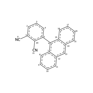 N#Cc1cccc(-c2c3ccccc3cc3ccccc23)c1C#N